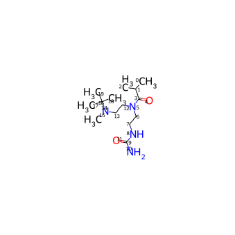 CC(C)C(=O)N(CCNC(N)=O)CCN(C)C(C)(C)C